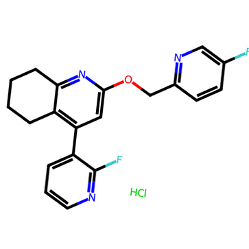 Cl.Fc1ccc(COc2cc(-c3cccnc3F)c3c(n2)CCCC3)nc1